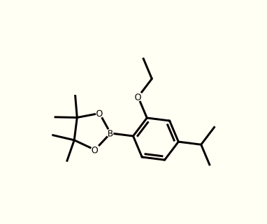 CCOc1cc(C(C)C)ccc1B1OC(C)(C)C(C)(C)O1